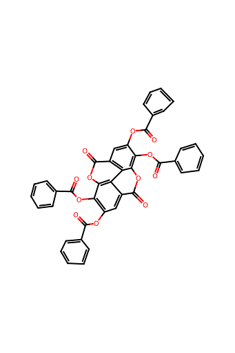 O=C(Oc1cc2c(=O)oc3c(OC(=O)c4ccccc4)c(OC(=O)c4ccccc4)cc4c(=O)oc(c1OC(=O)c1ccccc1)c2c34)c1ccccc1